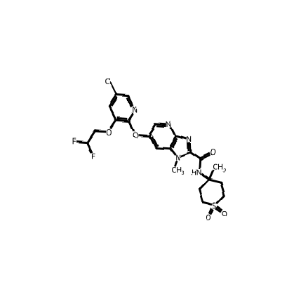 Cn1c(C(=O)NC2(C)CCS(=O)(=O)CC2)nc2ncc(Oc3ncc(Cl)cc3OCC(F)F)cc21